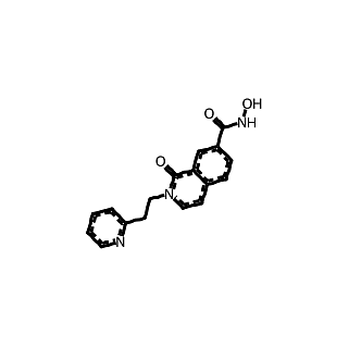 O=C(NO)c1ccc2ccn(CCc3ccccn3)c(=O)c2c1